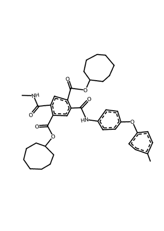 CNC(=O)c1cc(C(=O)OC2CCCCCCC2)c(C(=O)Nc2ccc(Oc3ccc(C)cc3)cc2)cc1C(=O)OC1CCCCCCC1